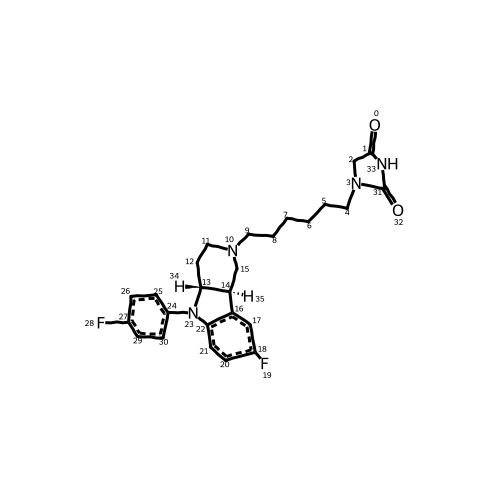 O=C1CN(CCCCCCN2CC[C@@H]3[C@@H](C2)c2cc(F)ccc2N3c2ccc(F)cc2)C(=O)N1